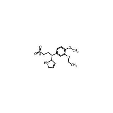 CCOc1cc(C(CC[SH](=O)=O)C2C=CCN2)ccc1OC